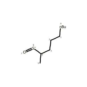 CCCCCCCC(C)[S+]=O